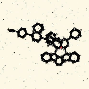 N#Cc1ccc(-c2ccc(-c3nc4cccc(-n5c6ccccc6c6ccc7c8ccccc8n(-c8nc(-c9ccccc9)nc(-c9ccccc9)n8)c7c65)c4o3)c3ccccc23)cc1